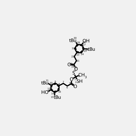 CC(S)(OC(=O)CCc1cc(C(C)(C)C)c(O)c(C(C)(C)C)c1)SOC(=O)CCc1cc(C(C)(C)C)c(O)c(C(C)(C)C)c1